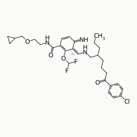 CCCC(CCCC(=O)c1ccc(Cl)cc1)CN/C=C1\C(=N)C=CC(C(=O)NCCOCC2CC2)=C1OC(F)F